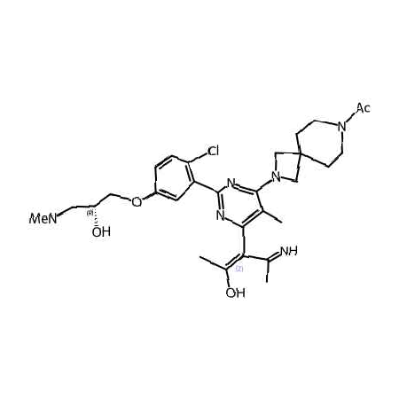 CNC[C@@H](O)COc1ccc(Cl)c(-c2nc(/C(C(C)=N)=C(\C)O)c(C)c(N3CC4(CCN(C(C)=O)CC4)C3)n2)c1